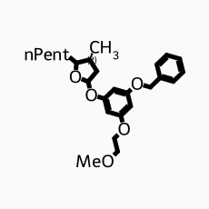 CCCCCC1OC(Oc2cc(OCCOC)cc(OCc3ccccc3)c2)C[C@H]1C